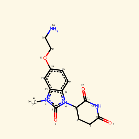 Cn1c(=O)n(C2CCC(=O)NC2=O)c2ccc(OCCN)cc21